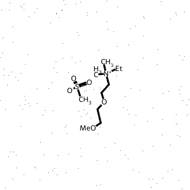 CC[N+](C)(C)CCOCCOC.CS(=O)(=O)[O-]